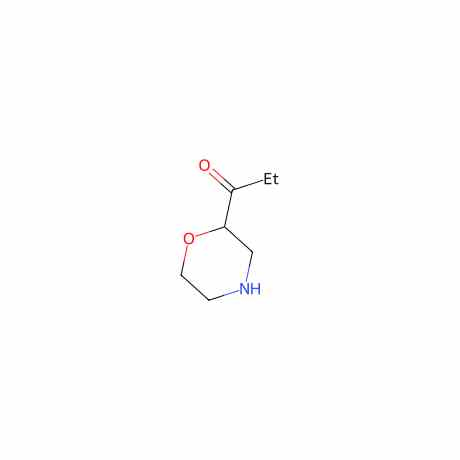 CCC(=O)C1CNCCO1